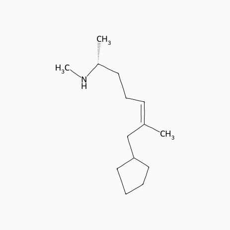 CN[C@H](C)CC/C=C(/C)CC1CCCC1